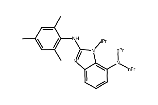 CCCN(CCC)c1cccc2nc(Nc3c(C)cc(C)cc3C)n(C(C)C)c12